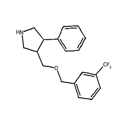 FC(F)(F)c1cccc(COCC2CNCC2c2ccccc2)c1